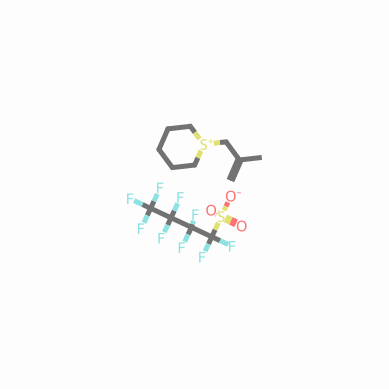 C=C(C)C[S+]1CCCCC1.O=S(=O)([O-])C(F)(F)C(F)(F)C(F)(F)C(F)(F)F